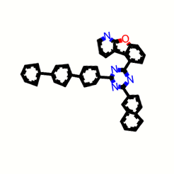 c1ccc(-c2ccc(-c3ccc(-c4nc(-c5ccc6ccccc6c5)nc(-c5cccc6oc7ncccc7c56)n4)cc3)cc2)cc1